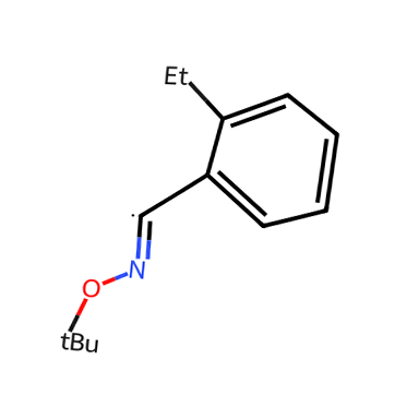 CCc1ccccc1/[C]=N/OC(C)(C)C